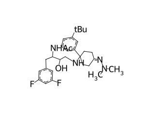 CC(=O)NC(Cc1cc(F)cc(F)c1)C(O)CNC1(c2cccc(C(C)(C)C)c2)CCC(=NN(C)C)CC1